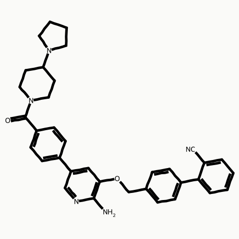 N#Cc1ccccc1-c1ccc(COc2cc(-c3ccc(C(=O)N4CCC(N5CCCC5)CC4)cc3)cnc2N)cc1